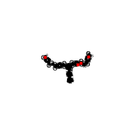 CC(=O)C1CCC(C(=O)OCOC(=O)C2CCC(C(=O)Oc3ccc(OC(=O)C4CCC(C(=O)OC(C)OC(=O)C5CCC(C(C)=O)CC5)CC4)c4nc(-c5ccc(-c6ccccc6)cc5)sc34)CC2)CC1